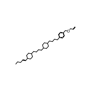 C=CCOCc1ccc(CCCCC2CCC(CCCCC3CCC(/C=C/CCC)CC3)CC2)cc1